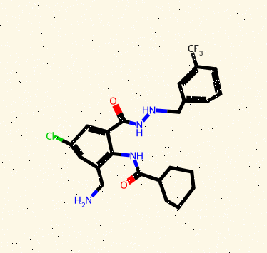 NCc1cc(Cl)cc(C(=O)NNCc2cccc(C(F)(F)F)c2)c1NC(=O)C1CCCCC1